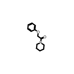 O=C(COc1ccccc1)N1C[CH]CCC1